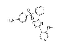 COc1ccccc1-c1noc(-c2ccccc2S(=O)(=O)c2ccc(N)cc2)n1